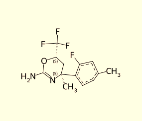 Cc1ccc([C@]2(C)C[C@@H](C(F)(F)F)OC(N)=N2)c(F)c1